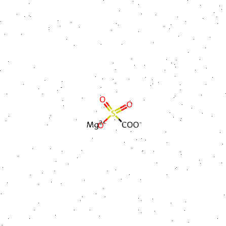 O=C([O-])S(=O)(=O)[O-].[Mg+2]